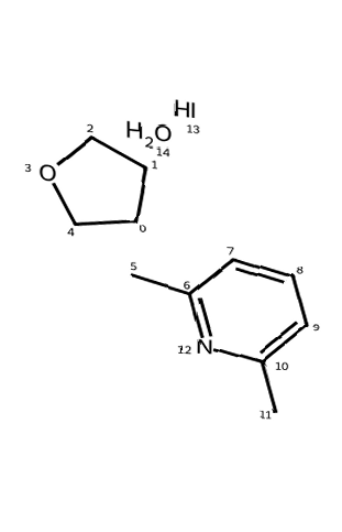 C1CCOC1.Cc1cccc(C)n1.I.O